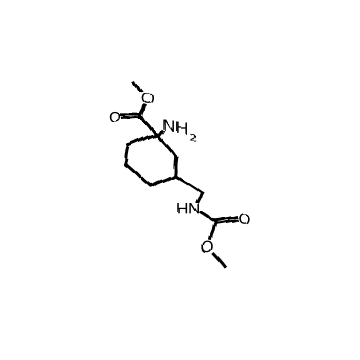 COC(=O)NCC1CCCC(N)(C(=O)OC)C1